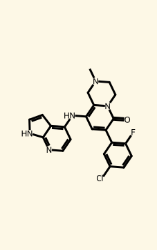 CN1CCn2c(c(Nc3ccnc4[nH]ccc34)cc(-c3cc(Cl)ccc3F)c2=O)C1